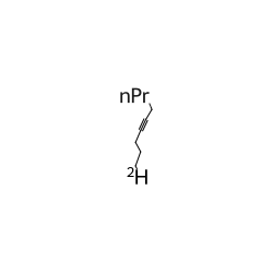 [2H]CCCC#CCCCC